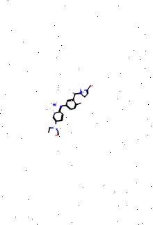 Cc1cc(F)c(-c2ncnc3cc(N4CCOCC4)ccc23)cc1C(N=O)C1=NC(CO)=CC1